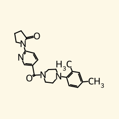 Cc1ccc(N2CCN(C(=O)c3ccc(N4CCCC4=O)nc3)CC2)c(C)c1